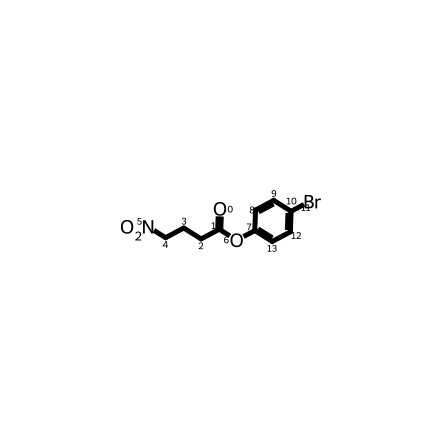 O=C(CCC[N+](=O)[O-])Oc1ccc(Br)cc1